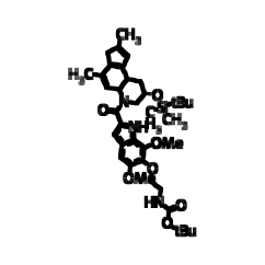 COc1cc2cc(C(=O)N3C[C@@H](O[Si](C)(C)C(C)(C)C)CC4C5=C(CC(C)=C5)C(C)=CC43)[nH]c2c(OC)c1OCCNC(=O)OC(C)(C)C